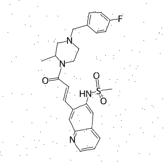 CC1CN(Cc2ccc(F)cc2)CCN1C(=O)C=Cc1cc2ncccc2cc1NS(C)(=O)=O